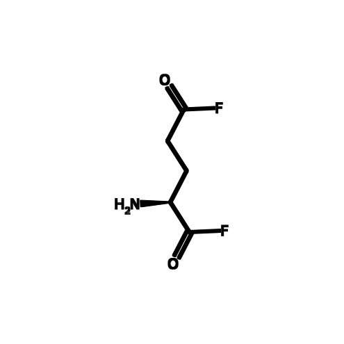 N[C@@H](CCC(=O)F)C(=O)F